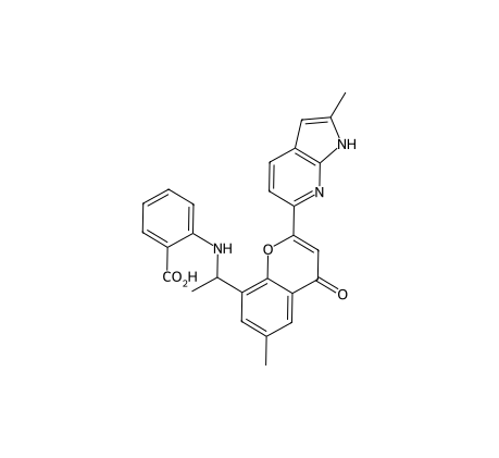 Cc1cc(C(C)Nc2ccccc2C(=O)O)c2oc(-c3ccc4cc(C)[nH]c4n3)cc(=O)c2c1